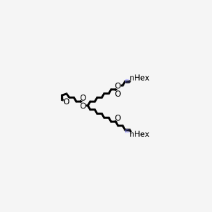 CCCCCC/C=C/CCC(=O)CCCCCCCC(CCCCCCCC(=O)OC/C=C/CCCCCC)OC(=O)CCC1CCCO1